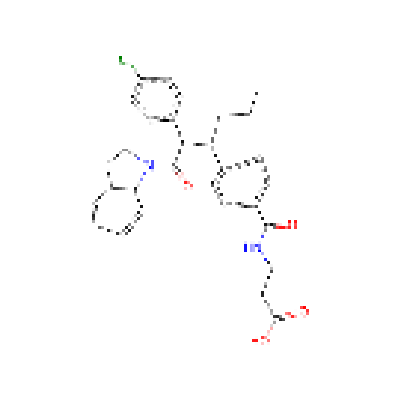 CCCC(c1ccc(C(=O)NCCC(=O)O)cc1)C(C(=O)N1CCC2C=CC=CC21)c1ccc(Cl)cc1